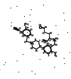 C=Cc1ccc(C2CCN(Cc3ccc(F)c(C#N)c3)CC2)cc1CN(C)C(C=C)CCC=O